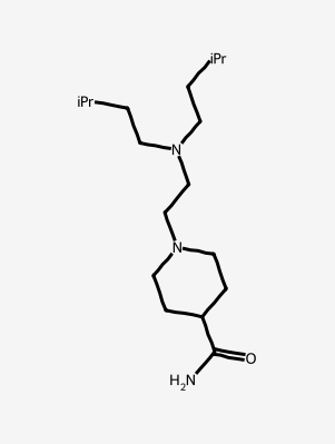 CC(C)CCN(CCC(C)C)CCN1CCC(C(N)=O)CC1